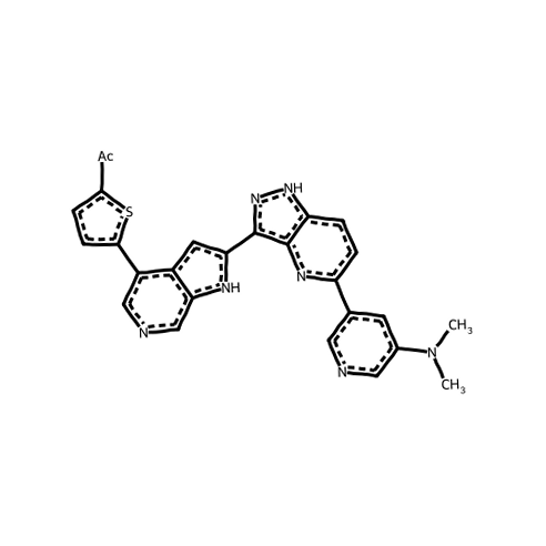 CC(=O)c1ccc(-c2cncc3[nH]c(-c4n[nH]c5ccc(-c6cncc(N(C)C)c6)nc45)cc23)s1